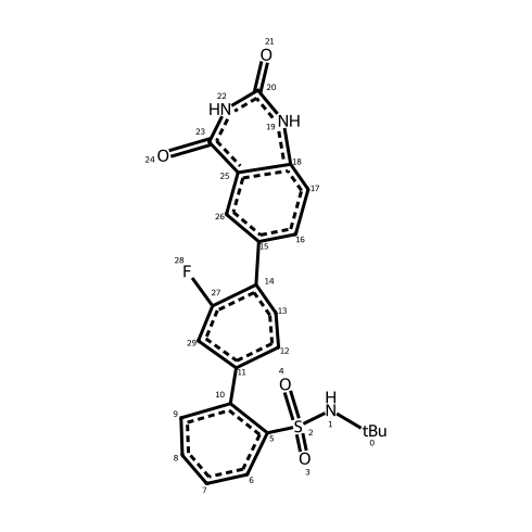 CC(C)(C)NS(=O)(=O)c1ccccc1-c1ccc(-c2ccc3[nH]c(=O)[nH]c(=O)c3c2)c(F)c1